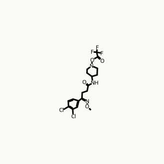 CON=C(CCC(=O)NC1CCN(OC(=O)C(F)(F)F)CC1)c1ccc(Cl)c(Cl)c1